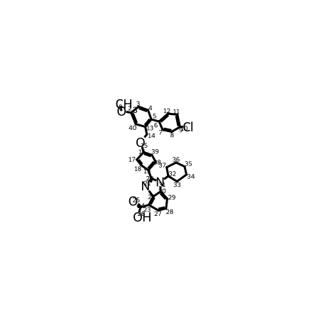 COc1ccc(-c2ccc(Cl)cc2)c(COc2ccc(-c3nc4c(C(=O)O)cccc4n3C3CCCCC3)cc2)c1